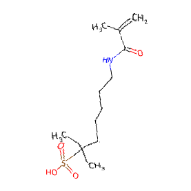 C=C(C)C(=O)NCCCC[CH]C(C)(C)S(=O)(=O)O